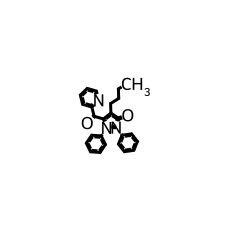 CCCCc1c(C(=O)c2ccccn2)n(-c2ccccc2)n(-c2ccccc2)c1=O